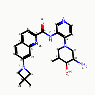 CC1CN(c2ccncc2NC(=O)c2ccc3ccc(N4CC(C)(C)C4)cc3n2)CC(N)C1O